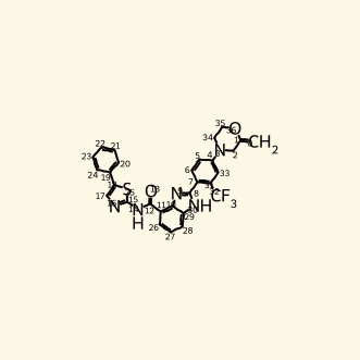 C=C1CN(c2ccc(-c3nc4c(C(=O)Nc5ncc(-c6ccccc6)s5)cccc4[nH]3)c(C(F)(F)F)c2)CCO1